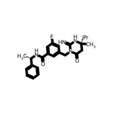 CC(C)[C@]1(C)CC(=O)N(Cc2cc(F)cc(C(=O)N[C@@H](C)c3ccccc3)c2)C(=N)N1